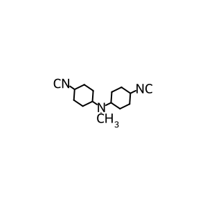 [C-]#[N+]C1CCC(N(C)C2CCC([N+]#[C-])CC2)CC1